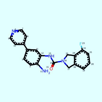 Nc1ccc(-c2ccncc2)cc1NC(=O)N1Cc2cccc(F)c2C1